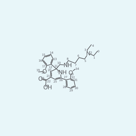 CCN(CC)CCCCNCC1(c2ccccc2OC)C=C(C(=O)O)C=C(c2ccccc2OC)N1